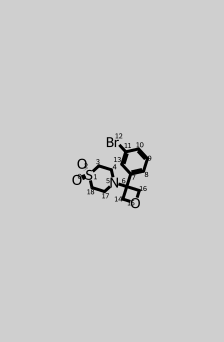 O=S1(=O)CCN(C2(c3cccc(Br)c3)COC2)CC1